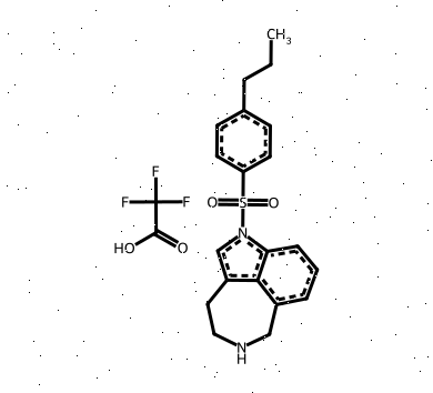 CCCc1ccc(S(=O)(=O)n2cc3c4c(cccc42)CNCC3)cc1.O=C(O)C(F)(F)F